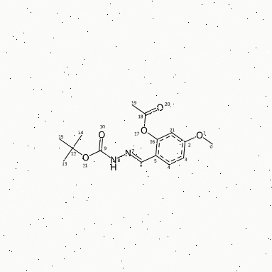 COc1ccc(C=NNC(=O)OC(C)(C)C)c(OC(C)=O)c1